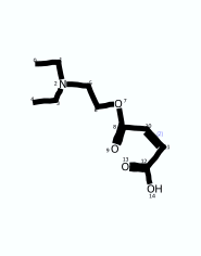 CCN(CC)CCOC(=O)/C=C\C(=O)O